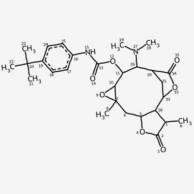 CC1C(=O)OC2CC3(C)OC3C(OC(=O)Nc3ccc(C(C)(C)C)cc3)C(N(C)C)C3CC(OC3=O)C21